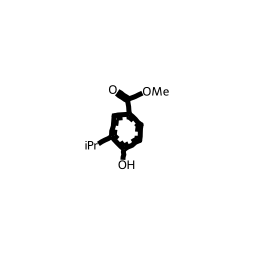 COC(=O)c1ccc(O)c(C(C)C)c1